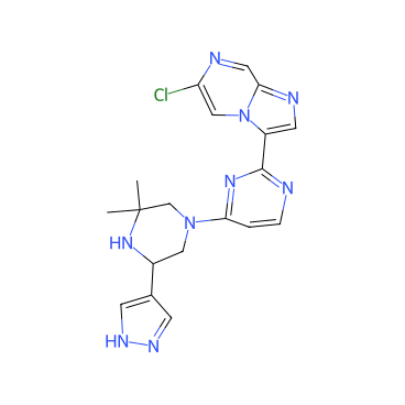 CC1(C)CN(c2ccnc(-c3cnc4cnc(Cl)cn34)n2)CC(c2cn[nH]c2)N1